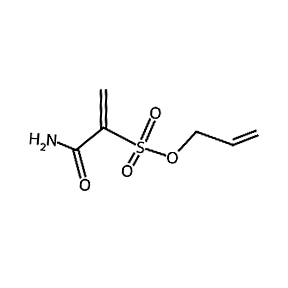 C=CCOS(=O)(=O)C(=C)C(N)=O